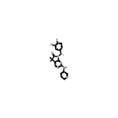 C[C@@H](c1ccc(F)c(F)c1)N1C(=O)C(C)(C)c2cnc(Nc3cccnc3)nc21